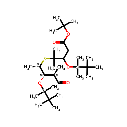 C[C@H](SC(C)(C)C(CC(=O)OC(C)(C)C)O[Si](C)(C)C(C)(C)C)[C@@H](O[Si](C)(C)C(C)(C)C)[C@@H](C)C=O